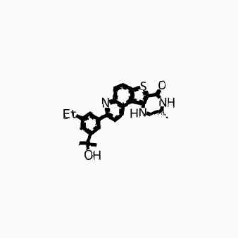 CCc1cc(-c2ccc3c(ccc4sc5c(c43)NC[C@@H](C)NC5=O)n2)cc(C(C)(C)O)c1